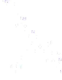 O=C(NCCC1CCNCC1)OCc1cc(-c2cc(-c3cccc(C(F)(F)F)c3)ccc2Oc2cc(F)c(S(=O)(=O)Nc3nncs3)cc2Cl)ccn1